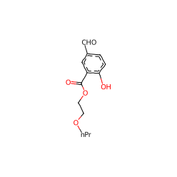 CCCOCCOC(=O)c1cc(C=O)ccc1O